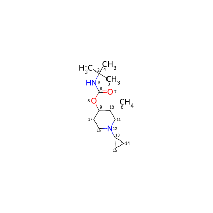 C.CC(C)(C)NC(=O)OC1CCN(C2CC2)CC1